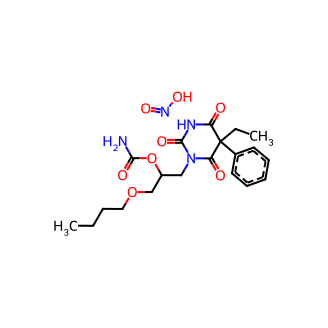 CCCCOCC(CN1C(=O)NC(=O)C(CC)(c2ccccc2)C1=O)OC(N)=O.O=NO